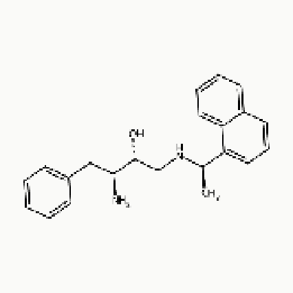 C[C@@H](NC[C@@H](O)[C@@H](N)Cc1ccccc1)c1cccc2ccccc12